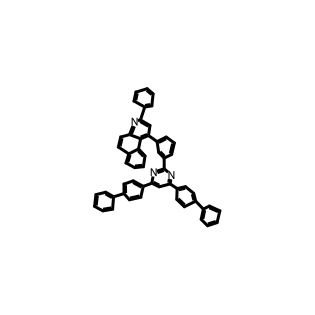 c1ccc(-c2ccc(-c3cc(-c4ccc(-c5ccccc5)cc4)nc(-c4cccc(-c5cc(-c6ccccc6)nc6ccc7ccccc7c56)c4)n3)cc2)cc1